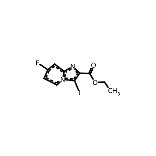 CCOC(=O)c1nc2cc(F)ccn2c1I